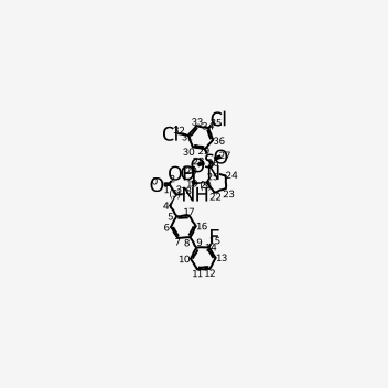 O=C(O)[C@H](Cc1ccc(-c2ccccc2F)cc1)NC(=O)[C@@H]1CCCN1S(=O)(=O)c1cc(Cl)cc(Cl)c1